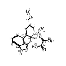 CCN1C[C@@H](COC)CC2c3cccc4[nH]nc(c34)C[C@H]21.O=C(O)C(=O)O